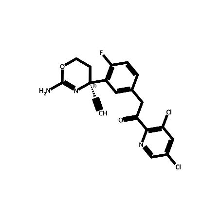 C#C[C@@]1(c2cc(CC(=O)c3ncc(Cl)cc3Cl)ccc2F)CCOC(N)=N1